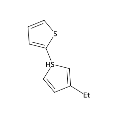 CCC1=C[SH](c2cccs2)C=C1